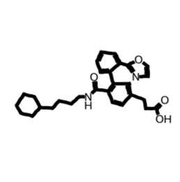 Cc1c(CCC(=O)O)ccc(C(=O)NCCCCC2CCCCC2)c1-c1ccccc1-c1ncco1